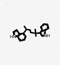 CC(CCC(C)(C)c1c[nH]c2ccccc12)c1cccc2[nH]ccc12